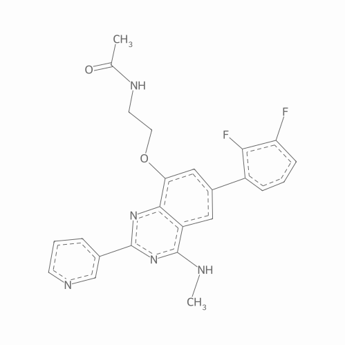 CNc1nc(-c2cccnc2)nc2c(OCCNC(C)=O)cc(-c3cccc(F)c3F)cc12